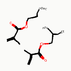 C=C(C)C(=O)OCC(CC)CCCC.C=C(C)C(=O)OCCCCCCCCCCCC